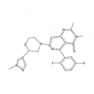 Cc1nc2cc(N3CCOC(c4cnn(C)c4)C3)nc(-c3cc(F)ccc3F)c2c(=O)n1C